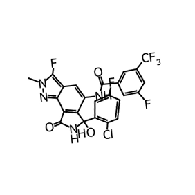 Cn1nc2c3c(c(NC(=O)c4cc(F)cc(C(F)(F)F)c4)cc2c1F)C(O)(c1cc(F)ccc1Cl)NC3=O